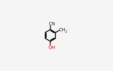 [CH2]c1cc(O)ccc1C#N